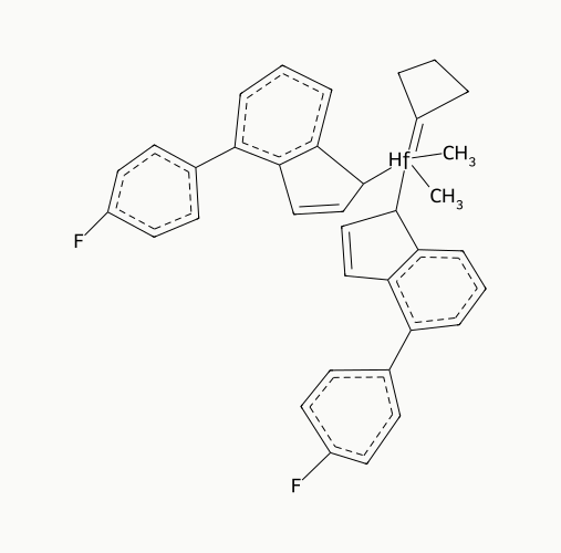 [CH3][Hf]([CH3])(=[C]1CCC1)([CH]1C=Cc2c(-c3ccc(F)cc3)cccc21)[CH]1C=Cc2c(-c3ccc(F)cc3)cccc21